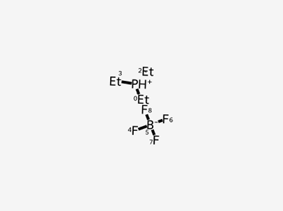 CC[PH+](CC)CC.F[B-](F)(F)F